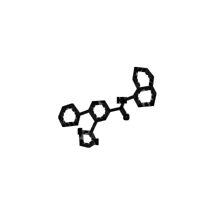 O=C(Nc1cccc2ccccc12)c1ccc(-c2ccccc2)c(-c2nccs2)c1